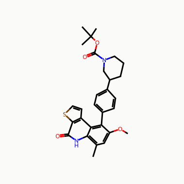 COc1cc(C)c2[nH]c(=O)c3sccc3c2c1-c1ccc(C2CCCN(C(=O)OC(C)(C)C)C2)cc1